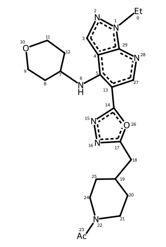 CCn1ncc2c(NC3CCOCC3)c(-c3nnc(CC4CCN(C(C)=O)CC4)o3)cnc21